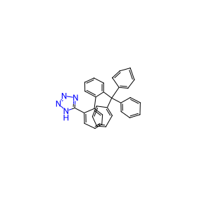 c1ccc(C(c2ccccc2)(c2ccccc2)c2ccccc2-c2ccccc2-c2nnn[nH]2)cc1